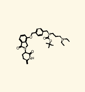 C=C1CCC(N2Cc3c(OCc4ccc(CN(CCCN(CC)CC)C(=O)OC(C)(C)C)cc4)cccc3C2=O)C(=O)N1